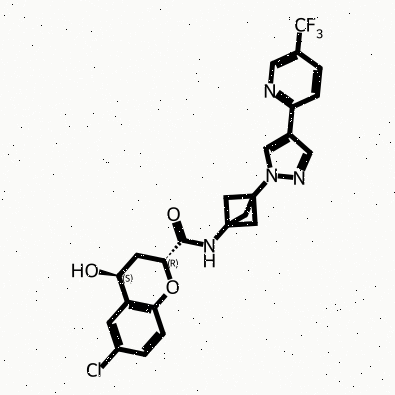 O=C(NC12CC(n3cc(-c4ccc(C(F)(F)F)cn4)cn3)(C1)C2)[C@H]1C[C@H](O)c2cc(Cl)ccc2O1